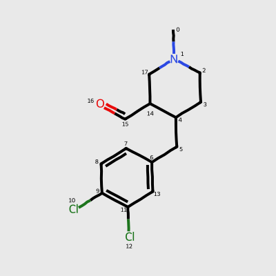 CN1CCC(Cc2ccc(Cl)c(Cl)c2)C(C=O)C1